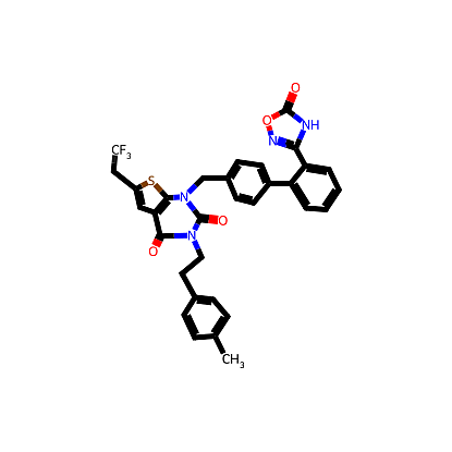 Cc1ccc(CCn2c(=O)c3cc(CC(F)(F)F)sc3n(Cc3ccc(-c4ccccc4-c4noc(=O)[nH]4)cc3)c2=O)cc1